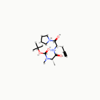 C#CC[C@H](NC(=O)[C@H](C)N(C)C(=O)OC(C)(C)C)C(=O)N1CCCC1